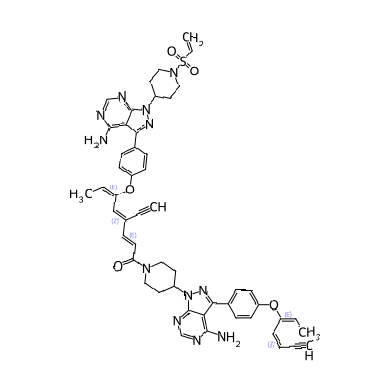 C#C/C=C\C(=C/C)Oc1ccc(-c2nn(C3CCN(C(=O)/C=C/C(C#C)=C/C(=C\C)Oc4ccc(-c5nn(C6CCN(S(=O)(=O)C=C)CC6)c6ncnc(N)c56)cc4)CC3)c3ncnc(N)c23)cc1